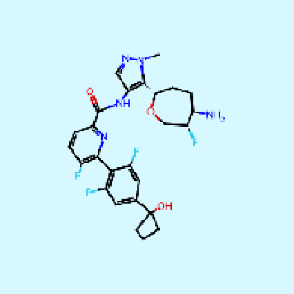 Cn1ncc(NC(=O)c2ccc(F)c(-c3c(F)cc(C4(O)CCC4)cc3F)n2)c1[C@@H]1CC[C@@H](N)[C@@H](F)CO1